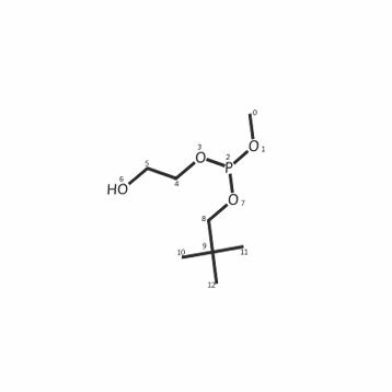 COP(OCCO)OCC(C)(C)C